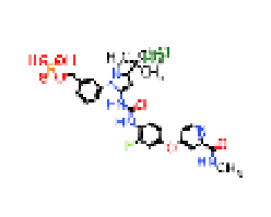 CNC(=O)c1cc(Oc2ccc(NC(=O)Nc3cc(C(C)(C)C)nn3-c3cccc(COP(=O)(O)O)c3)c(F)c2)ccn1.Cl.Cl